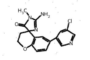 CN1C(=O)C2(CCOc3ccc(-c4cncc(Cl)c4)cc32)N=C1N